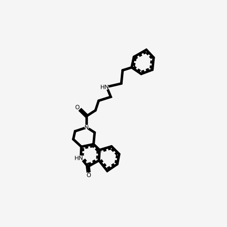 O=C(CCCNCCc1ccccc1)N1CCc2[nH]c(=O)c3ccccc3c2C1